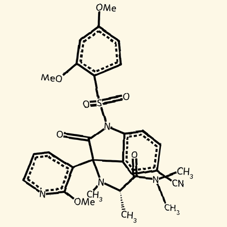 COc1ccc(S(=O)(=O)N2C(=O)C(c3cccnc3OC)(N(C)[C@@H](C)C(=O)N(C)C)c3cc(C#N)ccc32)c(OC)c1